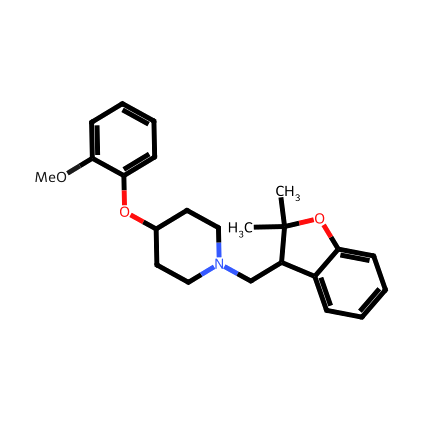 COc1ccccc1OC1CCN(CC2c3ccccc3OC2(C)C)CC1